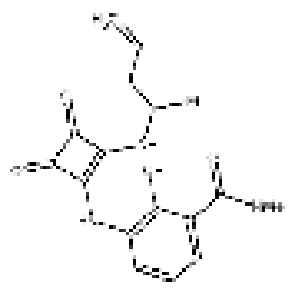 C=CCC(CC)Nc1c(Nc2cccc(C(=O)NC)c2O)c(=O)c1=O